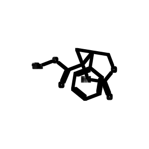 CC(C)(C)OC(=O)C12CC1(c1ccccc1)COC(=O)N2